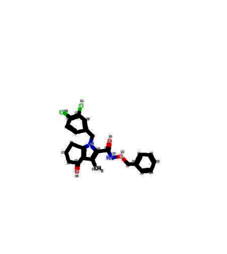 Cc1c2c(n(Cc3ccc(Cl)c(Cl)c3)c1C(=O)NOCc1ccccc1)CCCC2=O